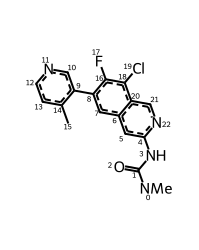 CNC(=O)Nc1cc2cc(-c3cnccc3C)c(F)c(Cl)c2cn1